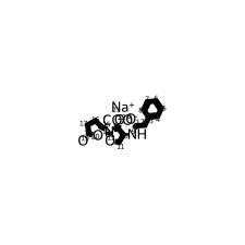 O=C(Cc1ccccc1)N[C@H]1CON(C2(C(=O)[O-])CCC(=O)O2)C1=O.[Na+]